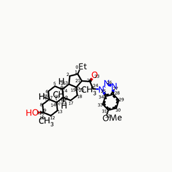 CCC1CC2[C@@H]3CC[C@H]4C[C@](C)(O)CC[C@]4(C)[C@H]3CC[C@]2(C)C1C(=O)Cn1nnc2ccc(OC)cc21